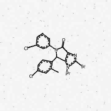 Cc1cc(Cl)ccc1C1c2c(nc(Br)n2C(C)C)C(=O)N1c1cccc(Cl)c1